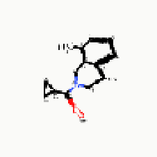 Cc1cccc2c1CN(C(=O)C1CC1)CC2